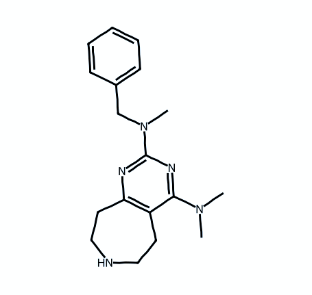 CN(C)c1nc(N(C)Cc2ccccc2)nc2c1CCNCC2